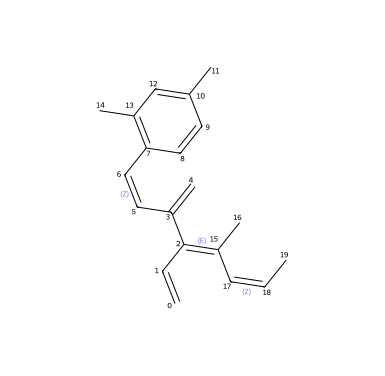 C=C/C(C(=C)/C=C\c1ccc(C)cc1C)=C(C)\C=C/C